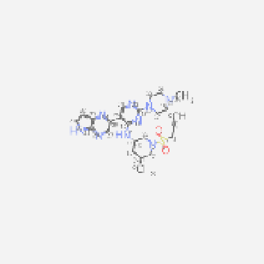 C#CCS(=O)(=O)N1C[C@@H](C)C[C@H](Nc2nc(N3CCN(C)CC3)ncc2-c2cnc3[nH]ccc3n2)C1